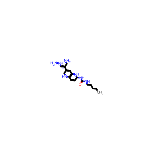 CCCCCNC(=O)NC1C=CC2=C(C=C(/C(=C/NN)CN)CN2)N1